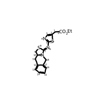 CCOC(=O)Cc1cnc(N=C2SCC3Cc4ccccc4CN23)s1